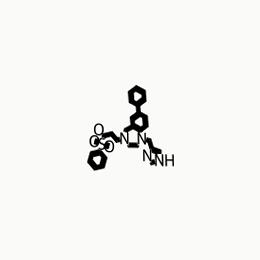 O=C(CCN1CCN(Cc2c[nH]cn2)c2ccc(-c3ccccc3)cc2C1)S(=O)(=O)c1ccccc1